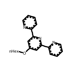 CCCCCCOc1cc(-c2ccccn2)nc(-c2ccccn2)c1